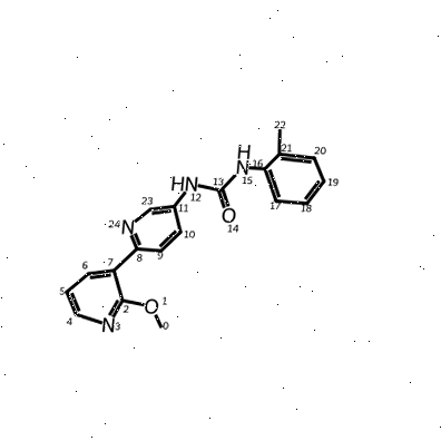 COc1ncccc1-c1ccc(NC(=O)Nc2ccccc2C)cn1